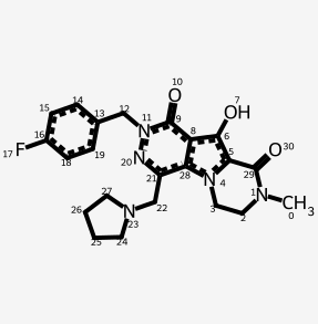 CN1CCn2c(c(O)c3c(=O)n(Cc4ccc(F)cc4)nc(CN4CCCC4)c32)C1=O